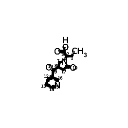 CCC(C(=O)O)N1CC(C(=O)c2cccnc2)CC1=O